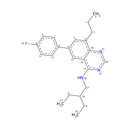 CCCc1cc(-c2ccc(F)cc2)cc2c(NCC(CC)CC)ncnc12